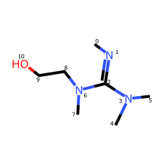 CN=C(N(C)C)N(C)CCO